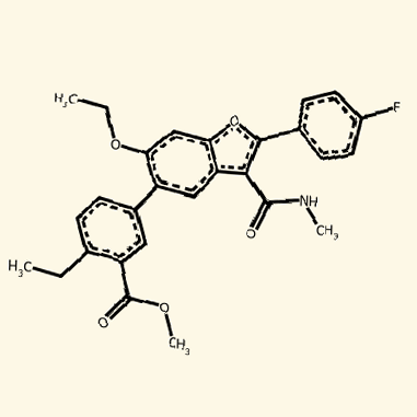 CCOc1cc2oc(-c3ccc(F)cc3)c(C(=O)NC)c2cc1-c1ccc(CC)c(C(=O)OC)c1